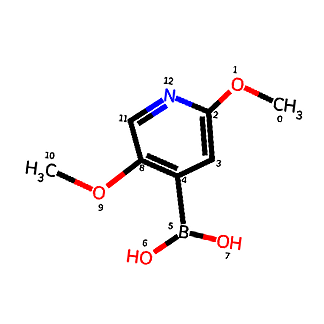 COc1cc(B(O)O)c(OC)cn1